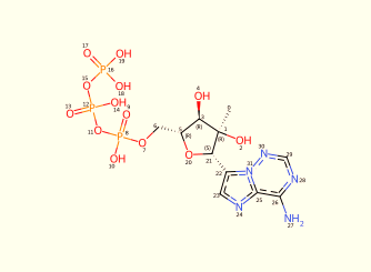 C[C@@]1(O)[C@H](O)[C@@H](COP(=O)(O)OP(=O)(O)OP(=O)(O)O)O[C@H]1c1cnc2c(N)ncnn12